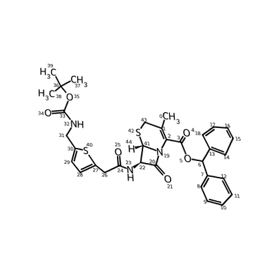 CC1=C(C(=O)OC(c2ccccc2)c2ccccc2)N2C(=O)[C@@H](NC(=O)Cc3ccc(CNC(=O)OC(C)(C)C)s3)[C@@H]2SC1